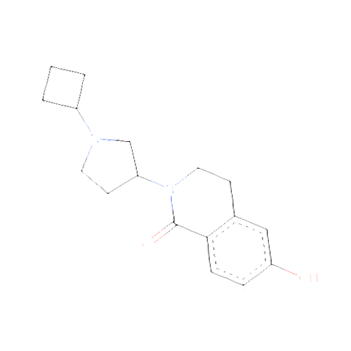 O=C1c2ccc(O)cc2CCN1C1CCN(C2CCC2)C1